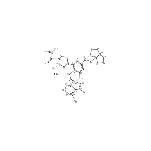 C=C(F)C(=O)N1CCN(c2nc(OCC34CCCN3CCC4)nc3c2CC[C@]2(C=C(C)c4c(Cl)cccc42)C3)C[C@@H]1CC#N